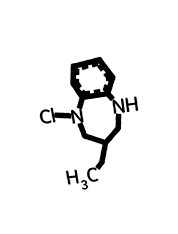 CCC1CNc2ccccc2N(Cl)C1